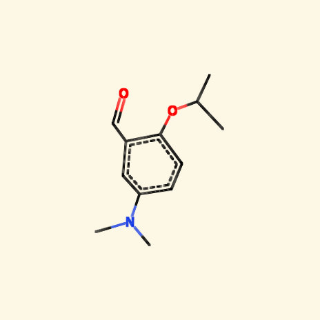 CC(C)Oc1ccc(N(C)C)cc1C=O